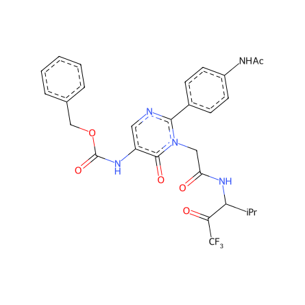 CC(=O)Nc1ccc(-c2ncc(NC(=O)OCc3ccccc3)c(=O)n2CC(=O)NC(C(=O)C(F)(F)F)C(C)C)cc1